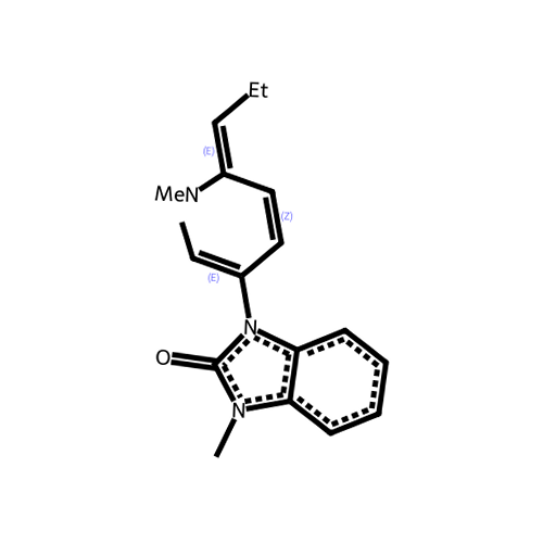 C\C=C(/C=C\C(=C/CC)NC)n1c(=O)n(C)c2ccccc21